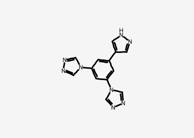 c1n[nH]cc1-c1cc(-n2cnnc2)cc(-n2cnnc2)c1